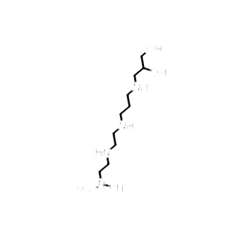 CN(C)CCNCCNCCCNCC(O)CO